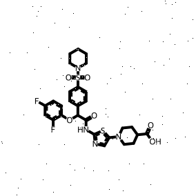 O=C(O)C1CCN(c2cnc(NC(=O)C(Oc3ccc(F)cc3F)c3ccc(S(=O)(=O)N4CCCCC4)cc3)s2)CC1